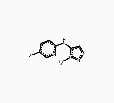 Cn1nncc1Nc1ccc(Br)cn1